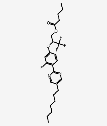 CCCCCCCc1cnc(-c2ccc(OC(COC(=O)CCCC)C(F)(F)F)cc2F)nc1